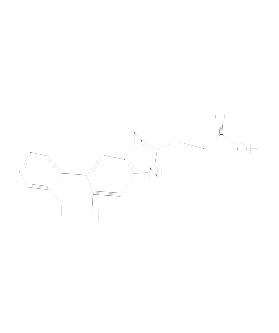 O=C(O)CSc1nc2cc(-c3ccccc3F)c(Cl)cc2[nH]1